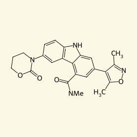 CNC(=O)c1cc(-c2c(C)noc2C)cc2[nH]c3ccc(N4CCCOC4=O)cc3c12